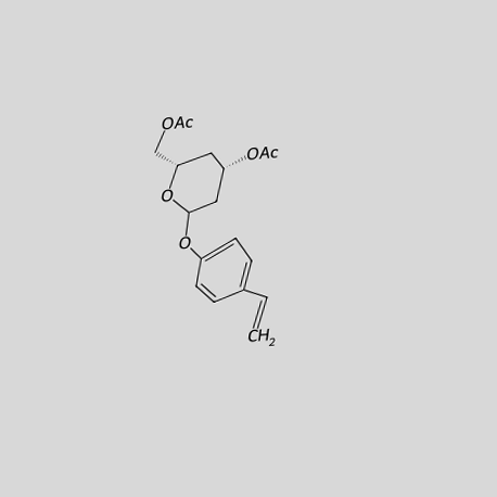 C=Cc1ccc(OC2C[C@@H](OC(C)=O)C[C@@H](COC(C)=O)O2)cc1